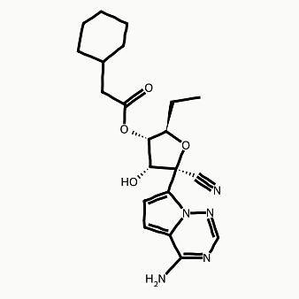 CC[C@H]1O[C@@](C#N)(c2ccc3c(N)ncnn23)[C@H](O)[C@@H]1OC(=O)CC1CCCCC1